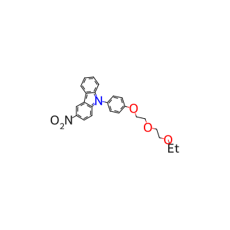 CCOCCOCCOc1ccc(-n2c3ccccc3c3cc([N+](=O)[O-])ccc32)cc1